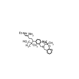 CCN/C=C(\N)CCC(c1ccc(C)c(CN2Cc3cccnc3OC(C)(C)C2)c1)C(C)(C)C(=O)O